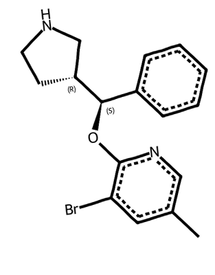 Cc1cnc(O[C@H](c2ccccc2)[C@@H]2CCNC2)c(Br)c1